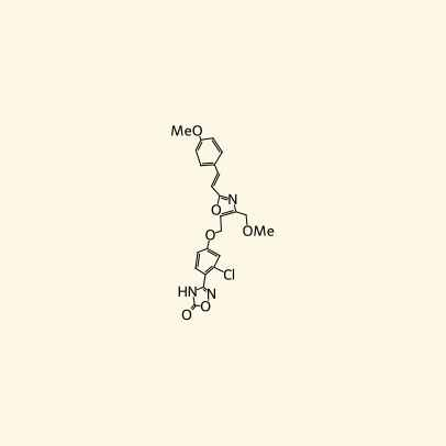 COCc1nc(C=Cc2ccc(OC)cc2)oc1COc1ccc(-c2noc(=O)[nH]2)c(Cl)c1